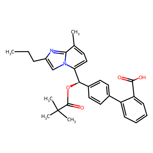 CCCc1cn2c([C@H](OC(=O)C(C)(C)C)c3ccc(-c4ccccc4C(=O)O)cc3)ccc(C)c2n1